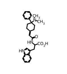 CN(C)C1(c2ccccc2)CCC(=CC(=O)NC(Cc2c[nH]c3ccccc23)C(=O)O)CC1